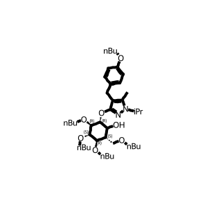 CCCCOC[C@H]1C(O)[C@@H](Oc2nn(C(C)C)c(C)c2Cc2ccc(OCCCC)cc2)[C@H](OCCCC)[C@@H](OCCCC)[C@@H]1OCCCC